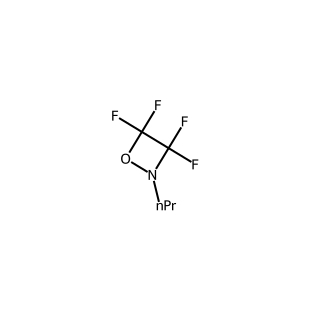 CCCN1OC(F)(F)C1(F)F